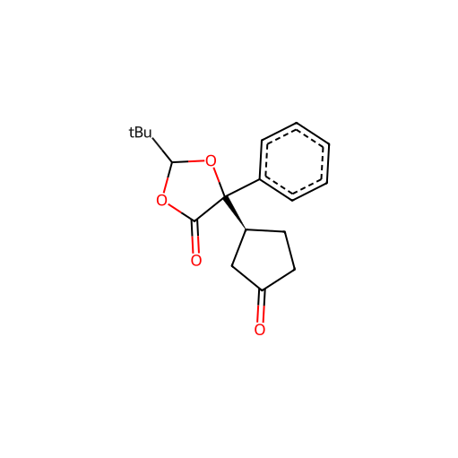 CC(C)(C)C1OC(=O)C(c2ccccc2)([C@H]2CCC(=O)C2)O1